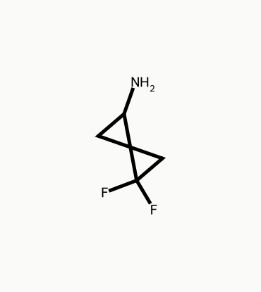 NC1CC12CC2(F)F